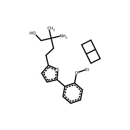 C1CC2CCC12.CCOc1ccccc1-c1ccc(CCC(C)(N)CO)s1